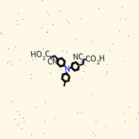 Cc1ccc(N(c2ccc(/C=C(\C#N)C(=O)O)cc2)c2ccc(/C=C(\C#N)C(=O)O)cc2)cc1